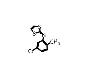 Cc1ccc(Cl)cc1N=c1sccs1